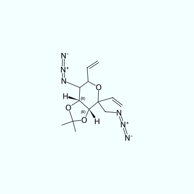 C=CC1OC(C=C)(CN=[N+]=[N-])[C@@H]2OC(C)(C)O[C@@H]2C1N=[N+]=[N-]